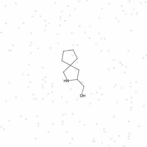 OCC1CC2(CCCC2)CN1